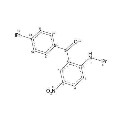 CC(C)Nc1ccc([N+](=O)[O-])cc1C(=O)c1ccc(C(C)C)cc1